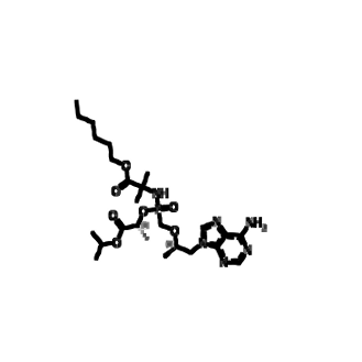 CCCCCCOC(=O)C(C)(C)NP(=O)(CO[C@H](C)Cn1cnc2c(N)ncnc21)O[C@H](C)C(=O)OC(C)C